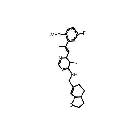 COc1ccc(F)cc1/C(C)=C/C1N=CN=C(NCC2=CC3=C(CCO3)CC2)C1C